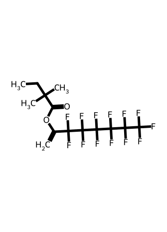 C=C(OC(=O)C(C)(C)CC)C(F)(F)C(F)(F)C(F)(F)C(F)(F)C(F)(F)C(F)(F)F